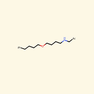 CC(=O)CNCCCCOCCCCC(C)C